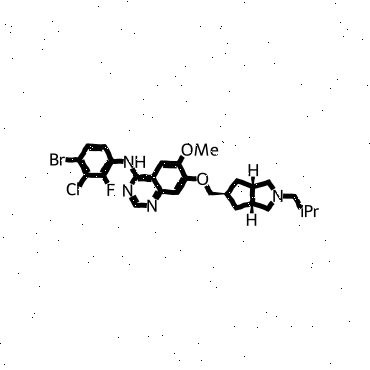 COc1cc2c(Nc3ccc(Br)c(Cl)c3F)ncnc2cc1OC[C@H]1C[C@@H]2CN(CC(C)C)C[C@@H]2C1